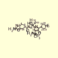 Nc1nc2ccc(C(=O)NC[C@](O)(c3cc4c(c(-c5ccc(F)cc5)n3)OC[C@@]4(N)C(F)(F)F)C3CC3)cc2o1